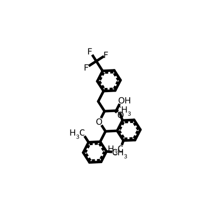 Cc1cccc(C)c1C(OC(Cc1cccc(C(F)(F)F)c1)C(=O)O)c1c(C)cccc1C